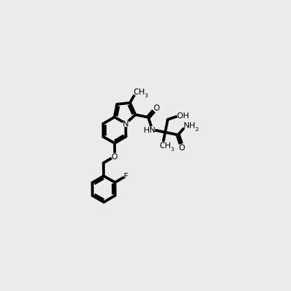 Cc1cc2ccc(OCc3ccccc3F)cn2c1C(=O)NC(C)(CO)C(N)=O